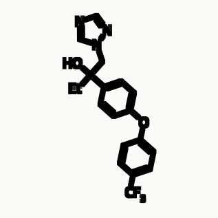 CCC(O)(Cn1cncn1)c1ccc(Oc2ccc(C(F)(F)F)cc2)cc1